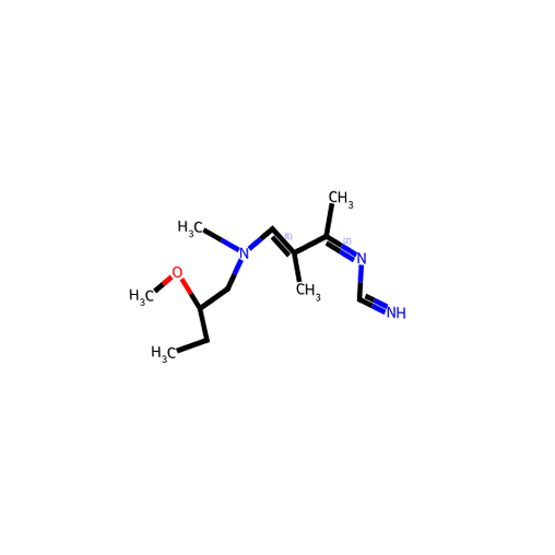 CCC(CN(C)/C=C(C)/C(C)=N\C=N)OC